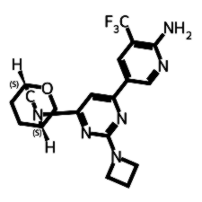 Nc1ncc(-c2cc(N3C[C@@H]4CC[C@H]3CO4)nc(N3CCC3)n2)cc1C(F)(F)F